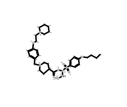 CCCCOc1ccc(S(=O)(=O)N(NO)OC(=O)C2CCN(Cc3ccc(OCCN4CCCCC4)cc3)CC2)cc1